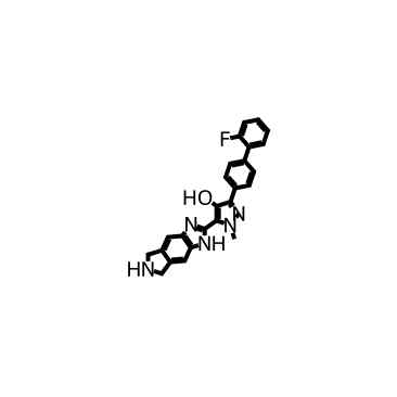 Cn1nc(-c2ccc(-c3ccccc3F)cc2)c(O)c1-c1nc2cc3c(cc2[nH]1)CNC3